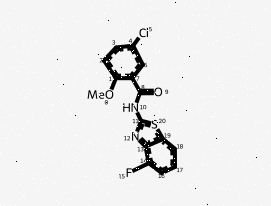 COc1ccc(Cl)cc1C(=O)Nc1nc2c(F)cccc2s1